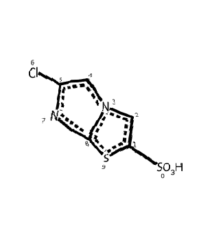 O=S(=O)(O)c1cn2cc(Cl)nc2s1